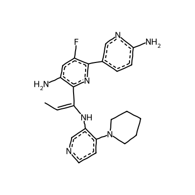 CC=C(Nc1cnccc1N1CCCCC1)c1nc(-c2ccc(N)nc2)c(F)cc1N